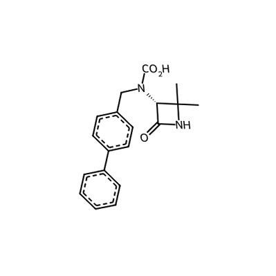 CC1(C)NC(=O)[C@@H]1N(Cc1ccc(-c2ccccc2)cc1)C(=O)O